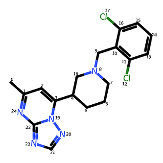 Cc1cc(C2CCCN(Cc3c(Cl)cccc3Cl)C2)n2ncnc2n1